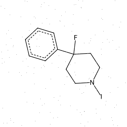 FC1(c2ccccc2)CCN(I)CC1